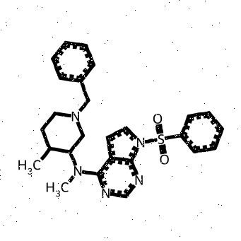 CC1CCN(Cc2ccccc2)CC1N(C)c1ncnc2c1ccn2S(=O)(=O)c1ccccc1